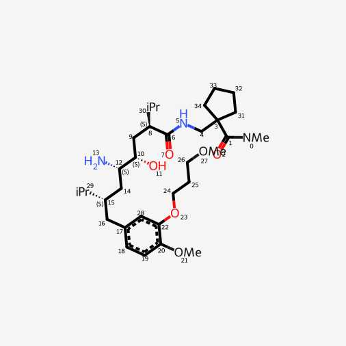 CNC(=O)C1(CNC(=O)[C@@H](C[C@H](O)[C@@H](N)C[C@H](Cc2ccc(OC)c(OCCCOC)c2)C(C)C)C(C)C)CCCC1